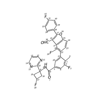 Cc1c(F)cc(C(=O)NC2(c3ncccn3)CC(F)C2)cc1-c1ccc2oc(-c3ccc(F)cc3)c(C=O)c2c1F